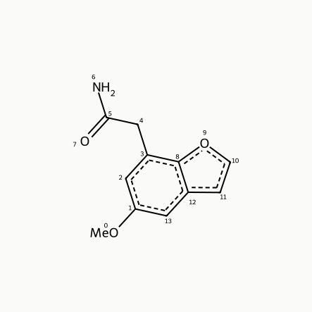 COc1cc(CC(N)=O)c2occc2c1